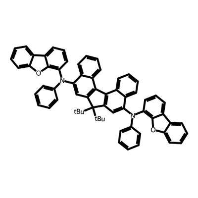 CC(C)(C)C1(C(C)(C)C)c2cc(N(c3ccccc3)c3cccc4c3oc3ccccc34)c3ccccc3c2-c2c1cc(N(c1ccccc1)c1cccc3c1oc1ccccc13)c1ccccc21